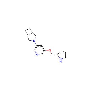 c1ncc(N2CC3CCC3C2)cc1OC[C@@H]1CCCN1